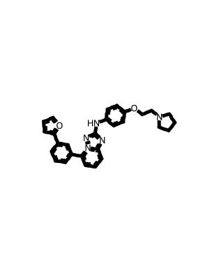 c1cc(-c2ccco2)cc(-c2cccc3nc(Nc4ccc(OCCN5CCCC5)cc4)nn23)c1